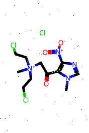 Cn1cnc([N+](=O)[O-])c1C(=O)C[N+](C)(CCCl)CCCl.[Cl-]